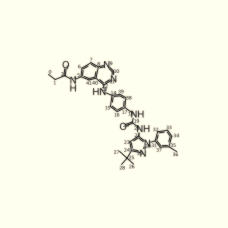 CCC(=O)Nc1ccc2ncnc(Nc3ccc(NC(=O)Nc4cc(C(C)(C)C)nn4-c4cccc(C)c4)cc3)c2c1